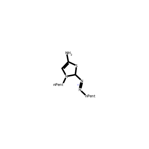 CCCCC/N=N/C1SC(N)=CN1CCCCC